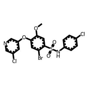 COc1cc(S(=O)(=O)Nc2ccc(Cl)cc2)c(Br)cc1Oc1cncc(Cl)c1